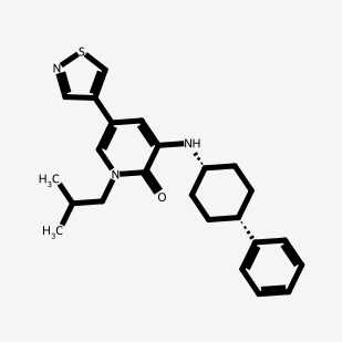 CC(C)Cn1cc(-c2cnsc2)cc(N[C@H]2CC[C@@H](c3ccccc3)CC2)c1=O